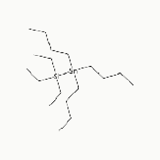 CCC[CH2][Sn]([CH2]CCC)([CH2]CCC)[Si](CC)(CC)CC